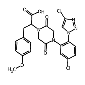 COc1ccc(CC(C(=O)O)N2CC(=O)N(c3cc(Cl)ccc3-n3cc(Cl)nn3)CC2=O)cc1